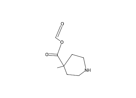 CC1(C(=O)OC=O)CCNCC1